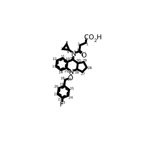 O=C(O)CCC(=O)N(C1CC1)C1c2ccccc2N(OCc2ccc(F)cc2)C2CCCC21